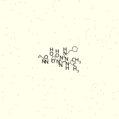 CCC(CC)Nc1nc(NCCC2CCCCC2)nc2c1ncn2[C@@H]1O[C@H](c2nnc(C3CC3)o2)[C@@H](O)[C@H]1O